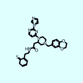 O=C(CC1CN(Cc2ccc3c(c2)OCCO3)CCN1c1ccnc(-n2ccnc2)n1)NCCC1=CC=CCC1=S